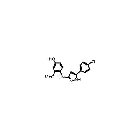 COc1cc(O)ccc1Nc1cc(-c2ccc(Cl)cc2)[nH]n1